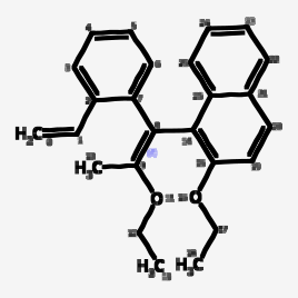 C=Cc1ccccc1/C(=C(\C)OCC)c1c(OCC)ccc2ccccc12